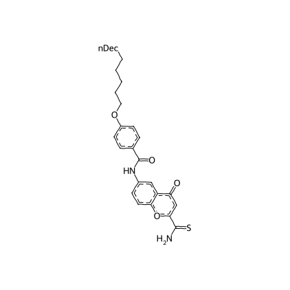 CCCCCCCCCCCCCCCOc1ccc(C(=O)Nc2ccc3oc(C(N)=S)cc(=O)c3c2)cc1